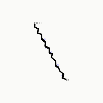 CC/C=C/C/C=C/CC/C=C/C=C/C=C/CCCCC(=O)O